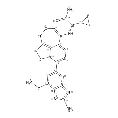 CCc1cc(C2=NC=C3C(NC(C(N)=O)C4CC4)=COCC4=C3N2CC4)cc2nc(N)oc12